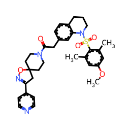 COc1cc(C)c(S(=O)(=O)N2CCCc3ccc(CC(=O)N4CCC5(CC4)CC(c4ccncc4)=NO5)cc32)c(C)c1